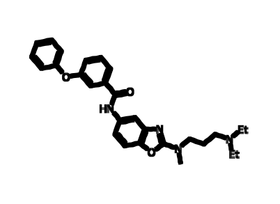 CCN(CC)CCCN(C)c1nc2cc(NC(=O)c3cccc(Oc4ccccc4)c3)ccc2o1